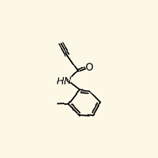 C#CC(=O)Nc1ccccc1C